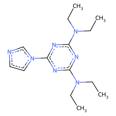 CCN(CC)c1nc(N(CC)CC)nc(-n2ccnc2)n1